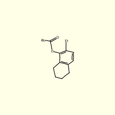 CCc1ccc2c(c1OC(=O)C(C)CC)CCCC2